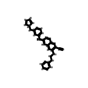 C#Cc1cc2cnc(Nc3cccc(Cn4ccnc4)c3)nc2cc1OCCc1cnccn1